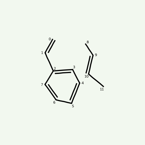 C=Cc1ccccc1.CC=CC